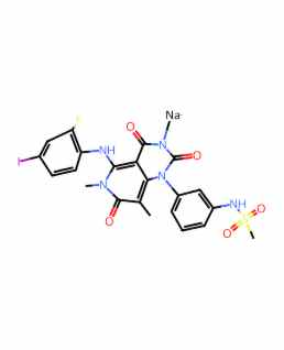 Cc1c(=O)n(C)c(Nc2ccc(I)cc2F)c2c(=O)n(C)c(=O)n(-c3cccc(NS(C)(=O)=O)c3)c12.[Na]